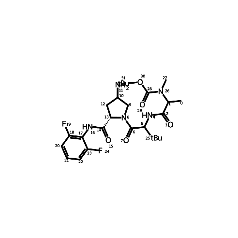 CC(C(=O)NC(C(=O)N1CC(N)C[C@H]1C(=O)Nc1c(F)cccc1F)C(C)(C)C)N(C)C(=O)OC(C)(C)C